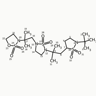 CC(C)(C)N1CCC(CC(C)(C)N2CCN(CC(C)(C)N3CCOS3(=O)=O)S2(=O)=O)S1(=O)=O